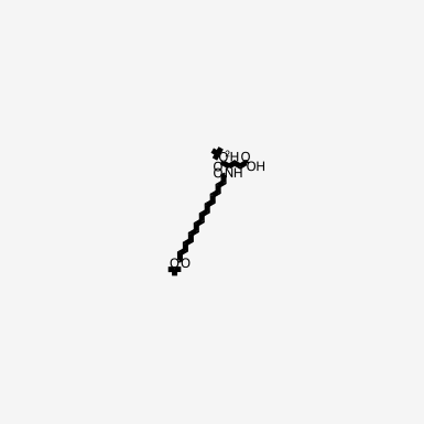 [2H][C@H](CC(=O)O)C(NC(=O)CCCCCCCCCCCCCCCCC(=O)OC(C)(C)C)C(=O)OC(C)(C)C